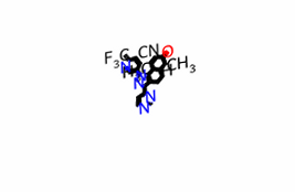 C[C@H]1C(=O)C(C#N)=C[C@@]2(C)c3c(c(-c4ccncn4)nn3-c3ccc(C(F)(F)F)nc3)CC[C@H]12